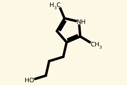 Cc1cc(CCCO)c(C)[nH]1